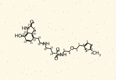 Cc1ccc(CCOCCNS(=O)(=O)CCCNCCc2ccc(O)c3[nH]c(=O)sc23)s1